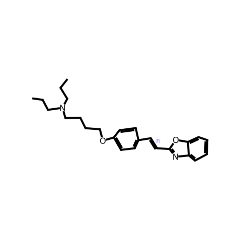 CCCN(CCC)CCCCOc1ccc(/C=C/c2nc3ccccc3o2)cc1